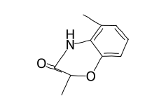 Cc1cccc2c1NC(=O)C(C)O2